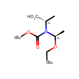 C[C@@H](OCC(C)(C)C)N(C(=O)OC(C)(C)C)[C@@H](C)C(=O)O